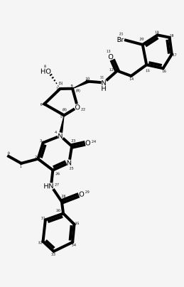 CCc1cn([C@H]2C[C@H](O)[C@@H](CNC(=O)Cc3ccccc3Br)O2)c(=O)nc1NC(=O)c1ccccc1